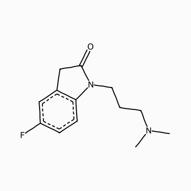 CN(C)CCCN1C(=O)Cc2cc(F)ccc21